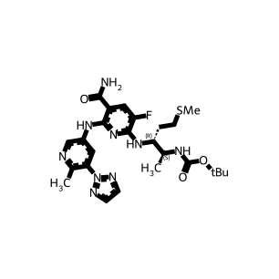 CSCC[C@@H](Nc1nc(Nc2cnc(C)c(-n3nccn3)c2)c(C(N)=O)cc1F)[C@H](C)NC(=O)OC(C)(C)C